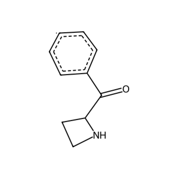 O=C(c1cc[c]cc1)C1CCN1